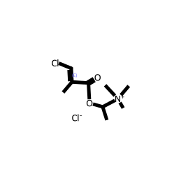 C/C(=C\Cl)C(=O)OC(C)[N+](C)(C)C.[Cl-]